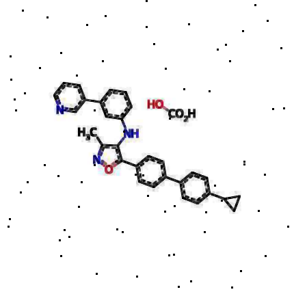 Cc1noc(-c2ccc(-c3ccc(C4CC4)cc3)cc2)c1Nc1cccc(-c2cccnc2)c1.O=C(O)O